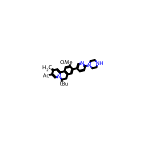 C=C1C=C2c3cc(OC)c(-c4ccc(N5CCNCC5)nc4)cc3CC(C(C)(C)C)N2C=C1C(C)=O